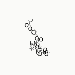 CCC(C)C(=O)COc1ccc(COC(=O)C(CSSc2ncccc2[N+](=O)[O-])NC(=O)OC(C)(C)C)cc1